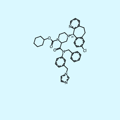 O=C(C1CN([C@@H]2c3ccc(Cl)cc3CCc3cccnc32)CCN1C(=O)OC1CCCCC1)N(Cc1ccccc1)c1cccc(Cn2ccnc2)c1